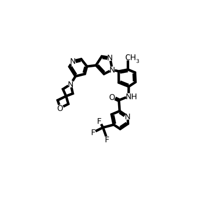 Cc1ccc(NC(=O)c2cc(C(F)(F)F)ccn2)cc1-n1cc(-c2cncc(N3CC4(COC4)C3)c2)cn1